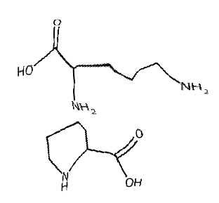 NCCCC(N)C(=O)O.O=C(O)C1CCCN1